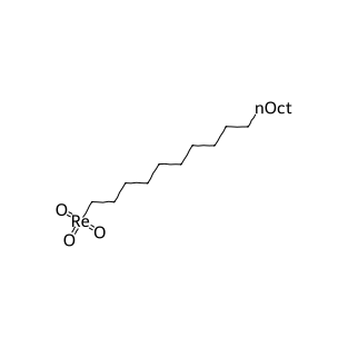 CCCCCCCCCCCCCCCCC[CH2][Re](=[O])(=[O])=[O]